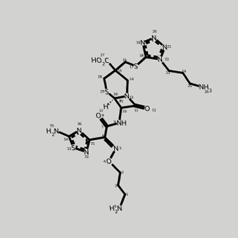 NCCCON=C(C(=O)NC1C(=O)N2CC(CSc3nnnn3CCCN)(C(=O)O)CS[C@H]12)c1nsc(N)n1